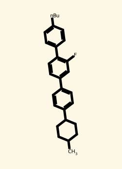 CCCCc1ccc(-c2ccc(-c3ccc(C4CCC(C)CC4)cc3)cc2F)cc1